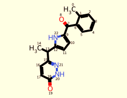 Cc1ccccc1C(=O)c1ccc(C(C)c2ccc(=O)[nH]n2)[nH]1